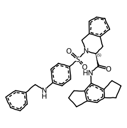 O=C(Nc1c2c(cc3c1CCC3)CCC2)[C@@H]1Cc2ccccc2CN1S(=O)(=O)c1ccc(NCc2ccccc2)cc1